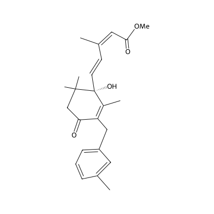 COC(=O)/C=C(C)\C=C\[C@@]1(O)C(C)=C(Cc2cccc(C)c2)C(=O)CC1(C)C